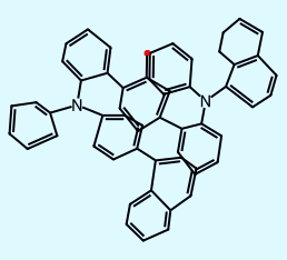 Cc1cc(-c2ccccc2N(c2ccccc2)c2cccc3c2CCC=C3)ccc1-c1ccccc1N(c1ccccc1)c1ccc(-c2cccc3ccccc23)cc1